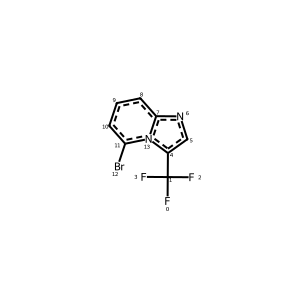 FC(F)(F)c1cnc2cccc(Br)n12